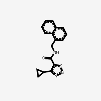 O=C(NCc1cccc2ccccc12)c1snnc1C1CC1